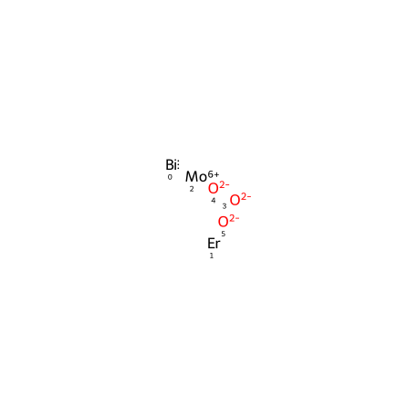 [Bi].[Er].[Mo+6].[O-2].[O-2].[O-2]